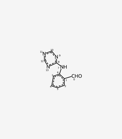 O=Cc1ccccc1Nc1ncncn1